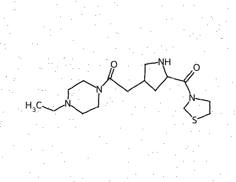 CCN1CCN(C(=O)CC2CNC(C(=O)N3CCSC3)C2)CC1